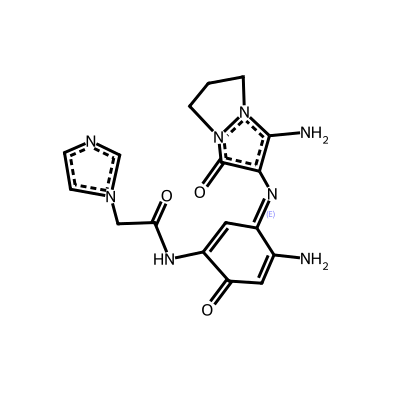 NC1=CC(=O)C(NC(=O)Cn2ccnc2)=C/C1=N\c1c(N)n2n(c1=O)CCC2